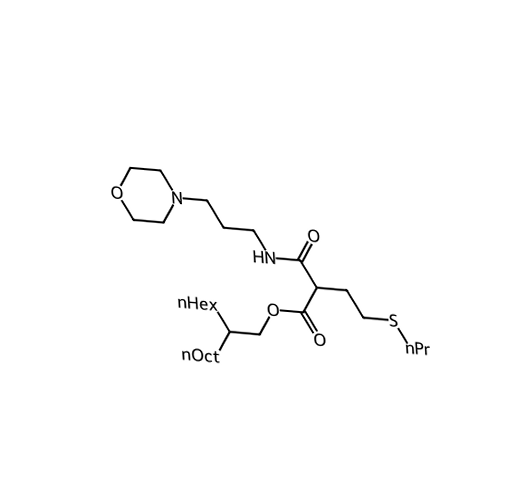 CCCCCCCCC(CCCCCC)COC(=O)C(CCSCCC)C(=O)NCCCN1CCOCC1